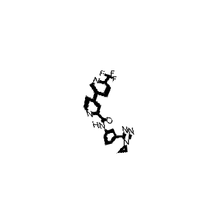 O=C(Nc1cccc(-c2nncn2C2CC2)c1)c1cc(-c2ccc(C(F)(F)F)nc2)ccn1